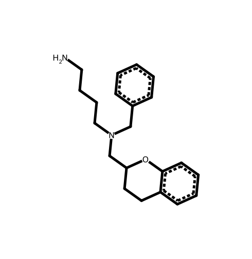 NCCCCN(Cc1ccccc1)CC1CCc2ccccc2O1